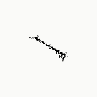 COC(=O)CCOCCOCCOCCOCCNC[C@H]1NC(=S)N[C@H]1C